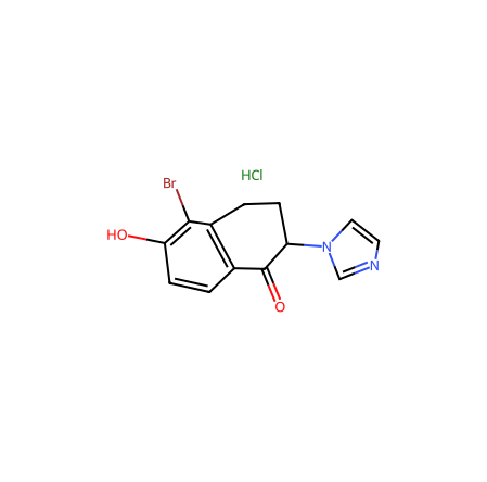 Cl.O=C1c2ccc(O)c(Br)c2CCC1n1ccnc1